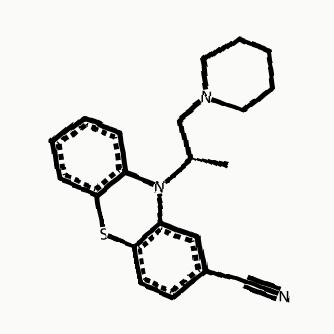 C[C@H](CN1CCCCC1)N1c2ccccc2Sc2ccc(C#N)cc21